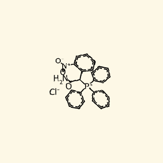 NC(=O)C(c1ccccc1[N+](=O)[O-])[P+](c1ccccc1)(c1ccccc1)c1ccccc1.[Cl-]